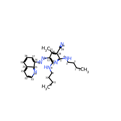 CCCCNc1nc(NCCCC)c(N=Nc2cccc3cccnc23)c(C)c1C#N